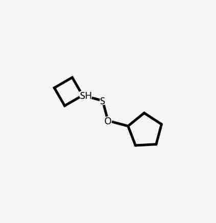 C1CCC(OS[SH]2CCC2)C1